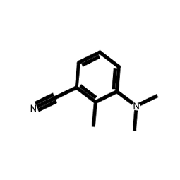 Cc1c(C#N)cccc1N(C)C